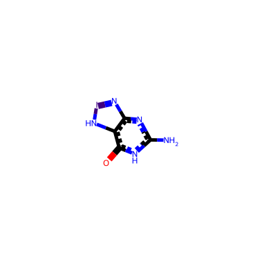 Nc1nc2c(c(=O)[nH]1)NI=N2